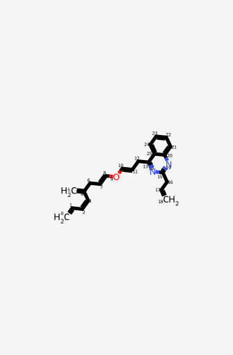 C=C/C=C\C(=C)C/C=C/O/C=C/Cc1nc(CC=C)nc2ccccc12